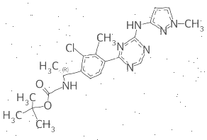 Cc1c(-c2ncnc(Nc3ccn(C)n3)n2)ccc([C@@H](C)NC(=O)OC(C)(C)C)c1Cl